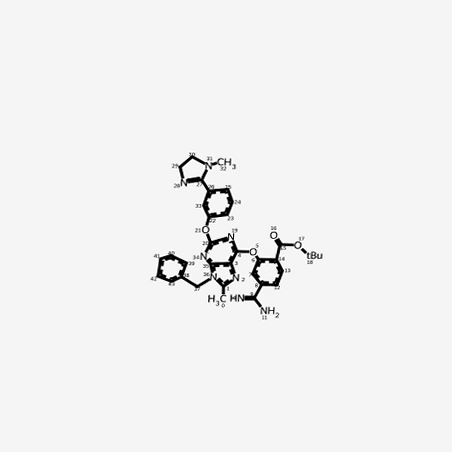 Cc1nc2c(Oc3cc(C(=N)N)ccc3C(=O)OC(C)(C)C)nc(Oc3cccc(C4=NCCN4C)c3)nc2n1Cc1ccccc1